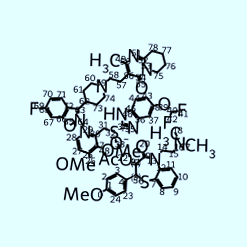 COc1ccc([C@@H]2Sc3ccccc3N(CCN(C)C)C(=O)[C@@H]2OC(C)=O)cc1.COc1ccnc(C[S+]([O-])c2nc3cc(OC(F)F)ccc3[nH]2)c1OC.Cc1nc2n(c(=O)c1CCN1CCC(c3noc4cc(F)ccc34)CC1)CCCC2